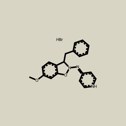 Br.COc1ccc2c(c1)ON(N=c1cc[nH]cc1)C2Cc1ccccc1